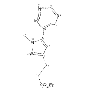 CCOC(=O)CCc1cc(-c2cncnc2)n(C)n1